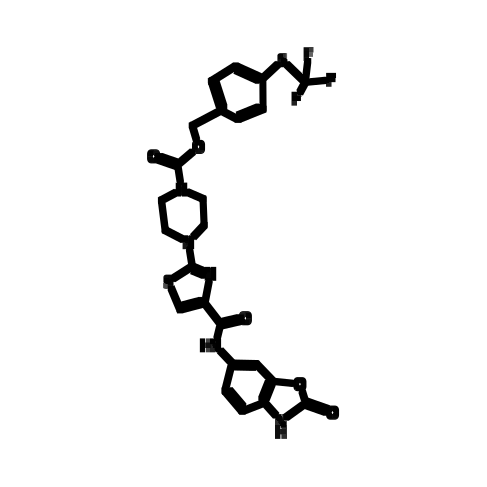 O=C(Nc1ccc2[nH]c(=O)oc2c1)c1csc(N2CCN(C(=O)OCc3ccc(SC(F)(F)F)cc3)CC2)n1